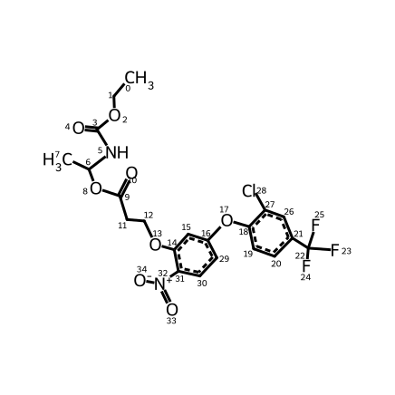 CCOC(=O)NC(C)OC(=O)CCOc1cc(Oc2ccc(C(F)(F)F)cc2Cl)ccc1[N+](=O)[O-]